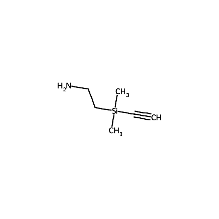 C#C[Si](C)(C)CCN